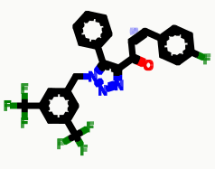 O=C(/C=C\c1ccc(F)cc1)c1nnn(Cc2cc(C(F)(F)F)cc(C(F)(F)F)c2)c1-c1ccccc1